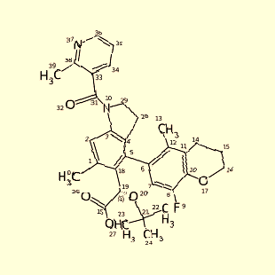 Cc1cc2c(c(-c3cc(F)c4c(c3C)CCCO4)c1[C@H](OC(C)(C)C)C(=O)O)CCN2C(=O)c1cccnc1C